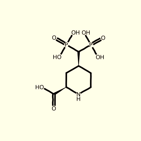 O=C(O)[C@H]1C[C@@H](C(P(=O)(O)O)P(=O)(O)O)CCN1